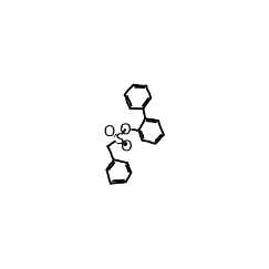 O=S(=O)(Cc1ccccc1)Oc1ccccc1-c1ccccc1